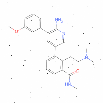 CNC(=O)c1cccc(-c2cnc(N)c(-c3cccc(OC)c3)c2)c1CCN(C)C